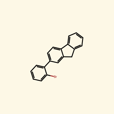 Brc1ccccc1-c1ccc2c(c1)Cc1ccccc1-2